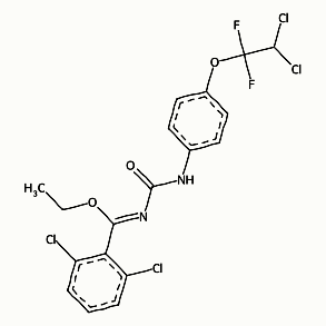 CCOC(=NC(=O)Nc1ccc(OC(F)(F)C(Cl)Cl)cc1)c1c(Cl)cccc1Cl